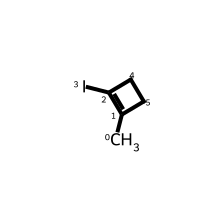 CC1=C(I)CC1